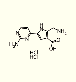 Cl.Cl.NCc1[nH]c(-c2ccnc(N)n2)cc1C(=O)O